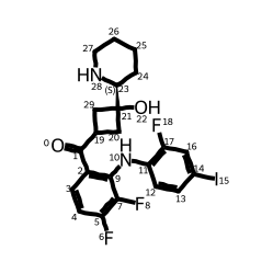 O=C(c1ccc(F)c(F)c1Nc1ccc(I)cc1F)C1CC(O)([C@@H]2CCCCN2)C1